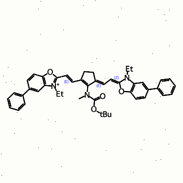 CCN1/C(=C/C=C2\CCC(/C=C/c3oc4ccc(-c5ccccc5)cc4[n+]3CC)=C2N(C)C(=O)OC(C)(C)C)Oc2ccc(-c3ccccc3)cc21